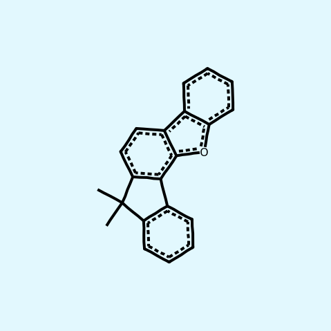 CC1(C)c2ccccc2-c2c1ccc1c2oc2ccccc21